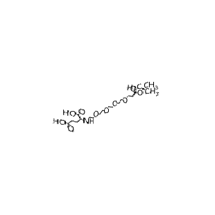 CC(C)(C)OC(=O)CCOCCOCCOCCOCCNC(CCC(=O)O)C(=O)O